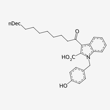 CCCCCCCCCCCCCCCCCC(=O)c1c(C(=O)O)n(Cc2ccc(O)cc2)c2ccccc12